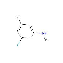 CC(C)Nc1cc(F)cc(C(F)(F)F)c1